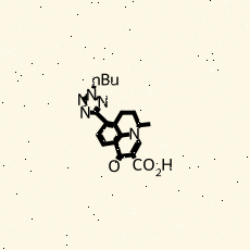 CCCCn1nnc(-c2ccc3c(=O)c(C(=O)O)cn4c3c2CCC4C)n1